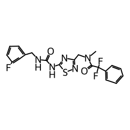 CN(Cc1nsc(NC(=O)NCc2cccc(F)c2)n1)C(=O)C(F)(F)c1ccccc1